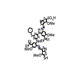 CCN(CC)c1cc(Nc2nc(Nc3cc(N(CC)CC)c(OC)cc3/N=N/c3snc4sc(S(=O)(=O)O)c(OC)c34)nc(SC3CCCCC3)n2)c(/N=N/c2snc3sc(S)c(OC)c23)cc1OC